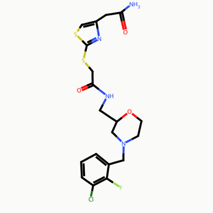 NC(=O)Cc1csc(SCC(=O)NCC2CN(Cc3cccc(Cl)c3F)CCO2)n1